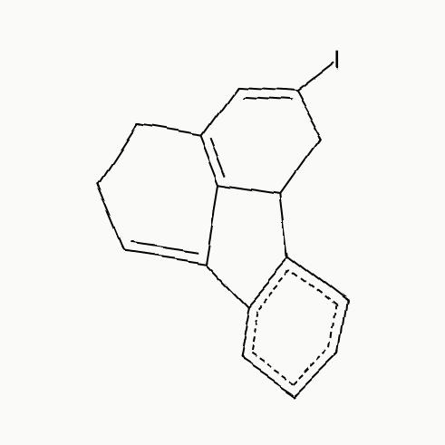 IC1=CC2=C3C(=CCC2)c2ccccc2C3C1